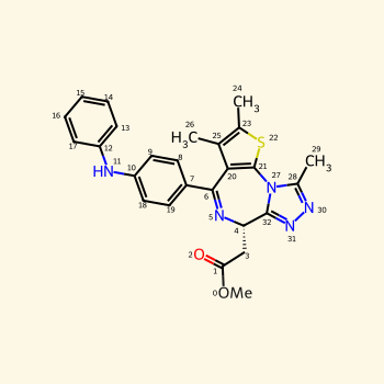 COC(=O)C[C@@H]1N=C(c2ccc(Nc3ccccc3)cc2)c2c(sc(C)c2C)-n2c(C)nnc21